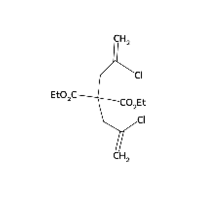 C=C(Cl)CC(CC(=C)Cl)(C(=O)OCC)C(=O)OCC